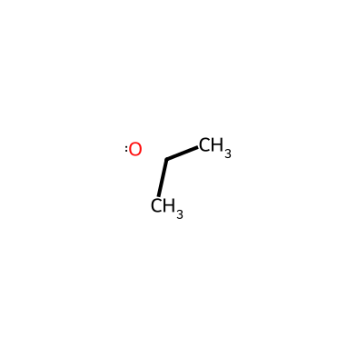 CCC.[O]